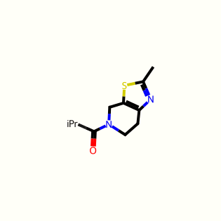 Cc1nc2c(s1)CN(C(=O)C(C)C)CC2